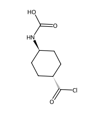 O=C(O)N[C@H]1CC[C@H](C(=O)Cl)CC1